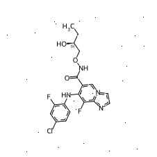 CC[C@H](O)CONC(=O)c1cn2ccnc2c(F)c1Nc1ccc(Cl)cc1F